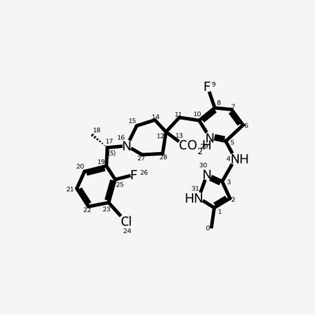 Cc1cc(Nc2ccc(F)c(CC3(C(=O)O)CCN([C@@H](C)c4cccc(Cl)c4F)CC3)n2)n[nH]1